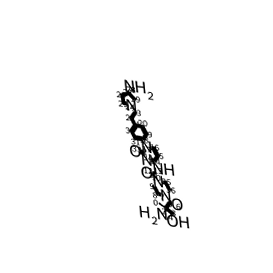 C[C@](N)(CO)C(=O)N1CCN(C(=O)Nc2ccn(-c3ccc(CCN4CC[C@@H](N)C4)cc3)c(=O)n2)CC1